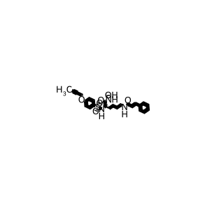 CC#CCOc1ccc(S(=O)(=O)N[C@H](CCCCNC(=O)C=Cc2ccccc2)C(=O)NO)cc1